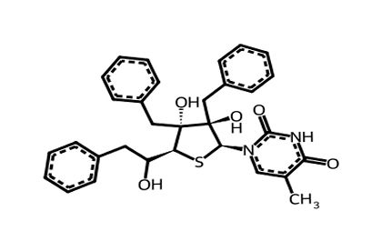 Cc1cn([C@H]2S[C@@H](C(O)Cc3ccccc3)[C@@](O)(Cc3ccccc3)[C@]2(O)Cc2ccccc2)c(=O)[nH]c1=O